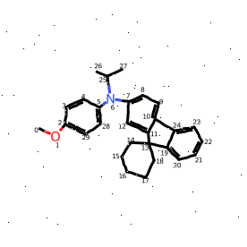 COc1ccc(N(c2ccc3c(c2)C2(CCCCC2)c2ccccc2-3)C(C)C)cc1